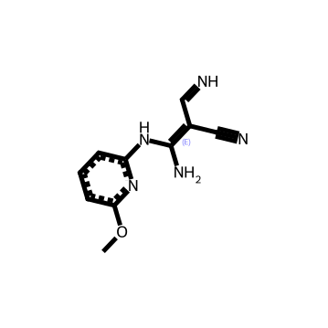 COc1cccc(N/C(N)=C(/C#N)C=N)n1